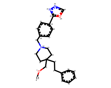 CCOCC1(CCc2ccccc2)CCN(Cc2ccc(-c3nnco3)cc2)CC1